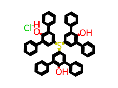 Oc1c(-c2ccccc2)cc([S+](c2cc(-c3ccccc3)c(O)c(-c3ccccc3)c2)c2cc(-c3ccccc3)c(O)c(-c3ccccc3)c2)cc1-c1ccccc1.[Cl-]